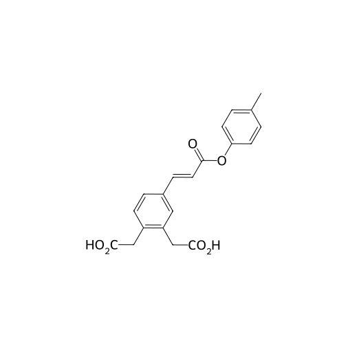 Cc1ccc(OC(=O)/C=C/c2ccc(CC(=O)O)c(CC(=O)O)c2)cc1